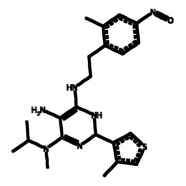 Cc1cc(N=O)ccc1CCNC1=C(N)C(N(C)C(C)C)=NC(c2cscc2C)N1